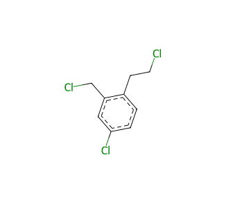 ClCCc1ccc(Cl)cc1CCl